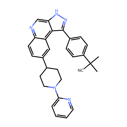 CC(C)(C#N)c1ccc(-c2n[nH]c3cnc4ccc(C5CCN(c6ccccn6)CC5)cc4c23)cc1